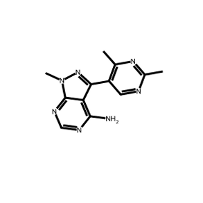 Cc1ncc(-c2nn(C)c3ncnc(N)c23)c(C)n1